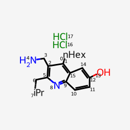 CCCCCCc1c(CN)c(CC(C)C)nc2ccc(O)cc12.Cl.Cl